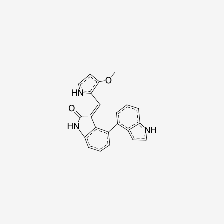 COc1cc[nH]c1C=C1C(=O)Nc2cccc(-c3cccc4[nH]ccc34)c21